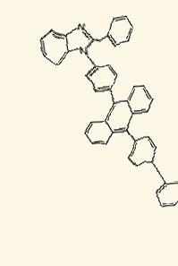 C1=CC(c2ccccc2)CC=C1c1c2ccccc2c(-c2ccc(-n3c(-c4ccccc4)nc4ccccc43)cc2)c2ccccc12